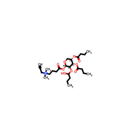 C#CC[N+](C)(C)CCCC(=O)O[C@H]1OC[C@H](OC(=O)CCC)[C@H](OC(=O)CCC)[C@H]1OC(O)CCC